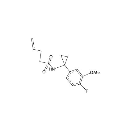 C=CCCS(=O)(=O)NC1(c2ccc(F)c(OC)c2)CC1